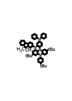 CC(C)(C)c1ccc(N2c3ccc(C(C)(C)C)cc3B3c4ccc(N(c5ccccc5)c5ccccc5)cc4N(c4ccc5c(c4)C(C)(C)c4ccccc4-5)c4cc(C(C)(C)C)cc2c43)cc1